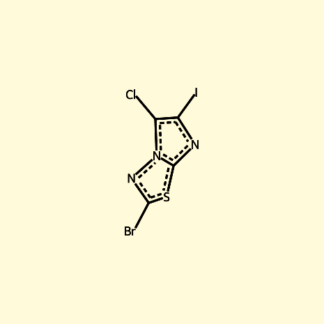 Clc1c(I)nc2sc(Br)nn12